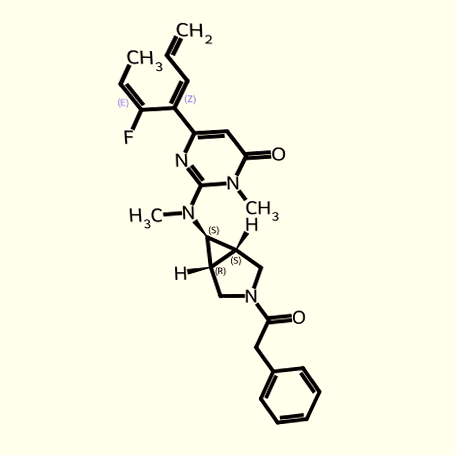 C=C/C=C(\C(F)=C/C)c1cc(=O)n(C)c(N(C)[C@H]2[C@@H]3CN(C(=O)Cc4ccccc4)C[C@@H]32)n1